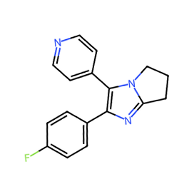 Fc1ccc(-c2nc3n(c2-c2ccncc2)CCC3)cc1